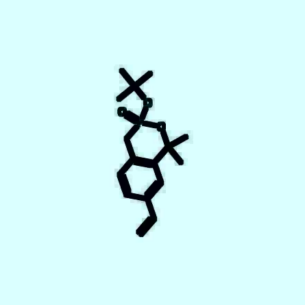 C=Cc1ccc2c(c1)C(C)(C)OP(=O)(OC(C)(C)C)C2